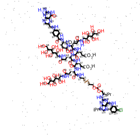 CC(C)[C@H](COC(=O)OCCSSCCNC(=O)[C@H](CCC(=O)NC[C@H](O)[C@@H](O)[C@H](O)[C@H](O)CO)NC(=O)[C@H](CCC(=O)O)NC(=O)[C@H](CCC(=O)NC[C@H](O)[C@@H](O)[C@H](O)[C@H](O)CO)NC(=O)[C@H](CCC(=O)O)NC(=O)[C@H](CCC(=O)NC[C@H](O)[C@@H](O)[C@H](O)[C@H](O)CO)NC(=O)CC[C@H](NC(=O)c1ccc(NCc2cnc3nc(N)[nH]c(=O)c3n2)cc1)C(=O)O)Nc1nc(Nc2cccc(Cl)c2)c2ncn(C(C)C)c2n1